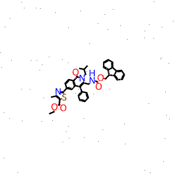 CCOC(=O)c1sc(-c2ccc3c(=O)n(CC(C)C)c(CNC(=O)OCC4c5ccccc5-c5ccccc54)c(-c4ccccc4)c3c2)nc1C